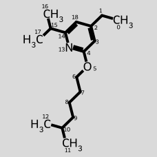 CCc1cc(OCCCCC(C)C)nc(C(C)C)c1